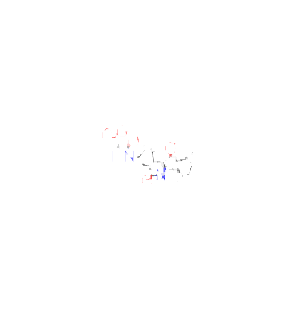 COC(=O)CC(=O)Nc1ccc2c3c(n(C)c(=O)c2c1)-c1ccccc1C3=O